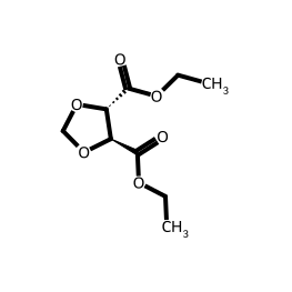 CCOC(=O)[C@H]1OCO[C@@H]1C(=O)OCC